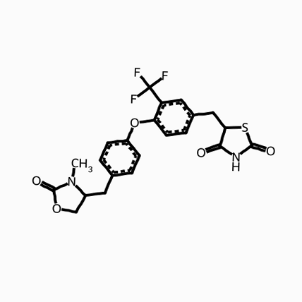 CN1C(=O)OCC1Cc1ccc(Oc2ccc(CC3SC(=O)NC3=O)cc2C(F)(F)F)cc1